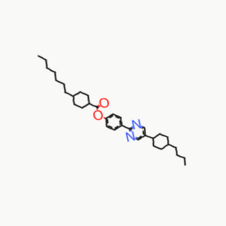 CCCCCCCC1CCC(C(=O)Oc2ccc(-c3ncc(C4CCC(CCCC)CC4)cn3)cc2)CC1